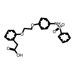 O=C(O)Cc1ccccc1OCCOc1ccc(NS(=O)(=O)c2ccccc2)cc1